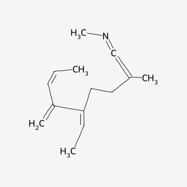 C=C(/C=C\C)/C(=C\C)CCC(C)=C=NC